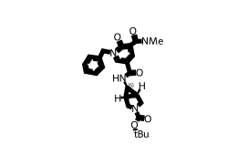 CNC(=O)c1cc(C(=O)N[C@H]2[C@@H]3CN(C(=O)OC(C)(C)C)C[C@@H]32)cn(Cc2ccccc2)c1=O